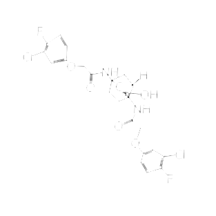 O=C(COc1ccc(F)c(Cl)c1)NC12CCC(NC(=O)COc3ccc(F)c(Cl)c3)(CC1)[C@@H](O)C2